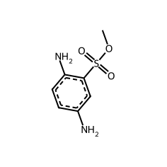 COS(=O)(=O)c1cc(N)ccc1N